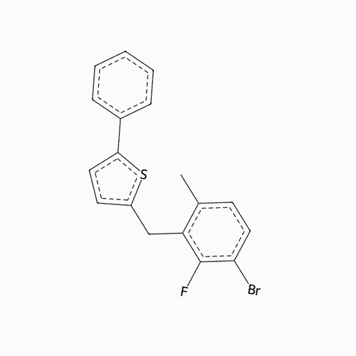 Cc1ccc(Br)c(F)c1Cc1ccc(-c2ccccc2)s1